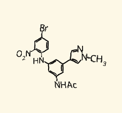 CC(=O)Nc1cc(Nc2ccc(Br)cc2[N+](=O)[O-])cc(-c2cnn(C)c2)c1